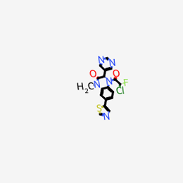 C=NC(=O)[C@H](c1cncnc1)N(C(=O)[C@H](F)Cl)c1ccc(-c2cncs2)cc1